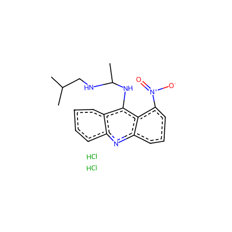 CC(C)CNC(C)Nc1c2ccccc2nc2cccc([N+](=O)[O-])c12.Cl.Cl